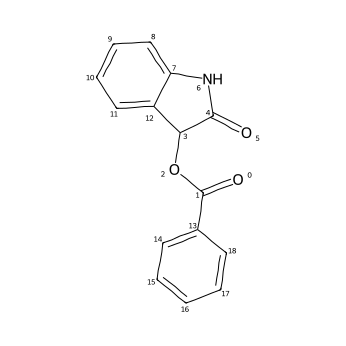 O=C(OC1C(=O)Nc2ccccc21)c1ccccc1